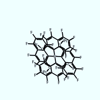 CC(C)Oc1c(F)c(F)c2c(F)c(F)c(F)c(F)c2c1[B-](c1c(OC(C)C)c(F)c(F)c2c(F)c(F)c(F)c(F)c12)(c1c(OC(C)C)c(F)c(F)c2c(F)c(F)c(F)c(F)c12)c1c(OC(C)C)c(F)c(F)c2c(F)c(F)c(F)c(F)c12